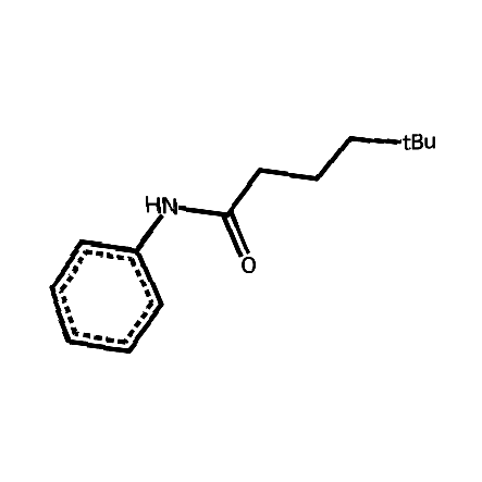 CC(C)(C)CCCC(=O)Nc1ccccc1